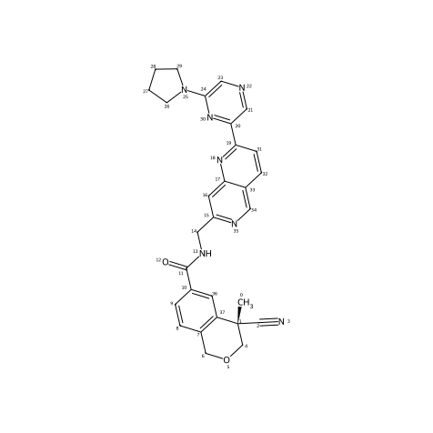 C[C@@]1(C#N)COCc2ccc(C(=O)NCc3cc4nc(-c5cncc(N6CCCC6)n5)ccc4cn3)cc21